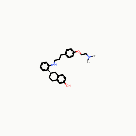 CCN(CC)CCOc1ccc(CCCNc2ccccc2[C@@H]2CCc3cc(O)ccc3C2)cc1